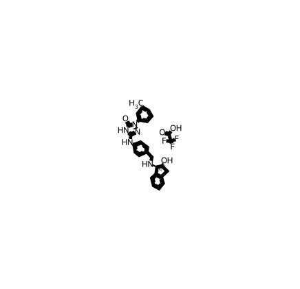 Cc1cccc(-n2nc(Nc3ccc(CN[C@@H]4c5ccccc5C[C@@H]4O)cc3)[nH]c2=O)c1.O=C(O)C(F)(F)F